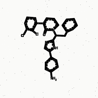 Nc1ccc(-c2cnc(C(Cc3ccccc3)n3cccc(-c4cccc(Cl)c4Cl)c3=O)[nH]2)cc1